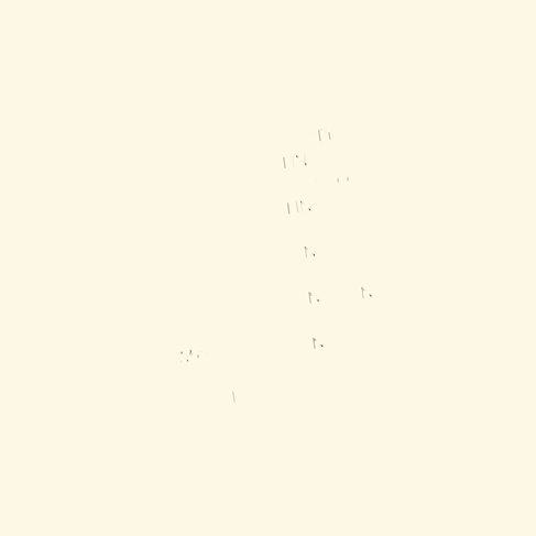 CCCNC(=O)Nc1ccc2ncc(Nc3ccc(OC)c(O)c3)nc2n1